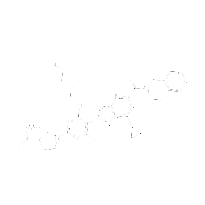 COC(=O)[C@H]1CCN(c2cc(F)c(-c3cc4nc(C(=O)N5CCc6ccccc6[C@H]5C)cc(C5CC5)n4n3)c(OCOCC[Si](C)(C)C)c2)C1